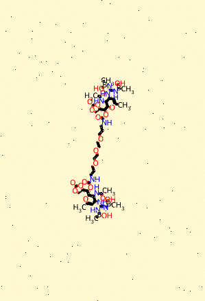 CB(O)/N=C(/NB(C)O)N[C@H]1C=C(C)O[C@@H]([C@H](OC(=O)NCCCOCCOCCOCCCNC(=O)O[C@@H]([C@@H]2OC(C)=C[C@H](N/C(=N\B(C)O)NB(C)O)[C@H]2NC(C)=O)[C@H]2COC(=O)O2)[C@H]2COC(=O)O2)[C@@H]1NC(C)=O